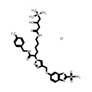 C[N+](C)(C)CC(O)CC(=O)NCCCCC(C(=O)NCc1ccc(C(F)(F)F)cc1)n1cc(COc2ccc3nc(S(N)(=O)=O)sc3c2)nn1.[Cl-]